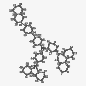 c1cc(-c2cc3ccccc3c3ccccc23)cc(N(c2ccc(-c3ccc(-c4ccc5ccccc5c4)cc3)cc2)c2ccc(-n3c4ccccc4c4ccccc43)cc2)c1